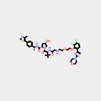 Cc1ncsc1-c1ccc([C@H](C)NC(=O)[C@@H]2C[C@@H](O)CN2C(=O)[C@@H](NC(=O)CNCCOCCOc2c(-c3csc(N4CCOCC4)n3)ccc(F)c2F)C(C)(C)C)cc1